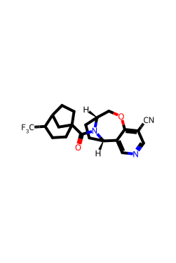 N#Cc1cncc2c1OC[C@H]1CC[C@@H]2N1C(=O)C12CCC(C1)C(C(F)(F)F)CC2